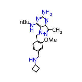 CCCCNc1nc(N)nc2c(C)nn(Cc3ccc(CNC4CCC4)cc3OC)c12